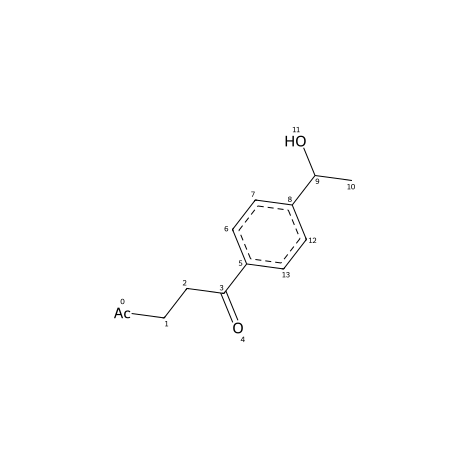 CC(=O)CCC(=O)c1ccc(C(C)O)cc1